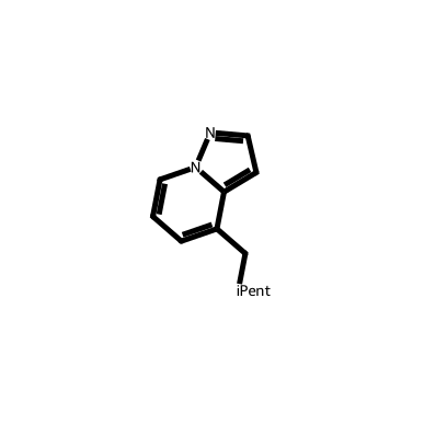 CCCC(C)Cc1cccn2nccc12